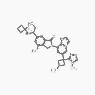 CC1CC(c2cc(N3Cc4c(cc(C(CO)NC5(C)CCC5)cc4C(F)(F)F)C3=O)c3nccn3c2)(c2nncn2C)C1